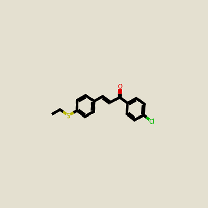 CCSc1ccc(C=CC(=O)c2ccc(Cl)cc2)cc1